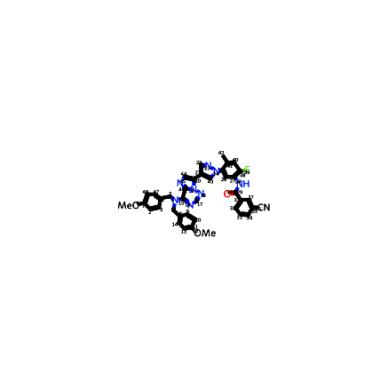 COc1ccc(CN(Cc2ccc(OC)cc2)c2ncnn3c(-c4cnn(-c5cc(NC(=O)c6cccc(C#N)c6)c(F)cc5C)c4)cnc23)cc1